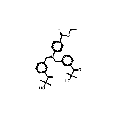 CCOC(=O)c1ccc(N(Cc2cccc(C(=O)C(C)(C)O)c2)Cc2cccc(C(=O)C(C)(C)O)c2)cc1